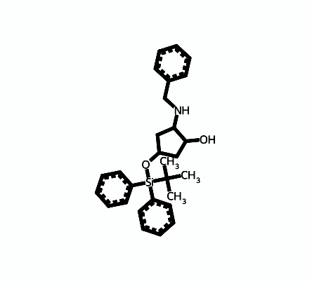 CC(C)(C)[Si](OC1CC(O)C(NCc2ccccc2)C1)(c1ccccc1)c1ccccc1